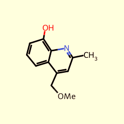 COCc1cc(C)nc2c(O)cccc12